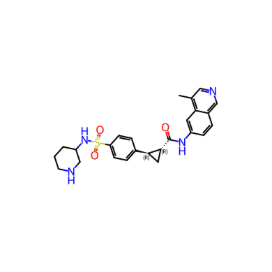 Cc1cncc2ccc(NC(=O)[C@@H]3C[C@H]3c3ccc(S(=O)(=O)NC4CCCNC4)cc3)cc12